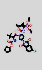 C=CC1CC1(NC(=O)[C@@H]1C[C@@H](N2C(=O)c3ccc(Br)cc3C2=O)CN1C(=O)[C@@H](NC(=O)OC1CCCC1)C(C)(C)C)P(=O)(OCC)OCC